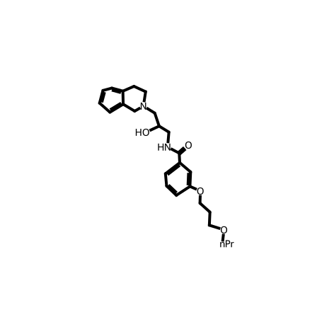 CCCOCCCOc1cccc(C(=O)NCC(O)CN2CCc3ccccc3C2)c1